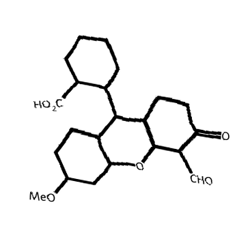 COC1CCC2C(C1)OC1C(C=O)C(=O)CCC1C2C1CCCCC1C(=O)O